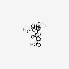 Cc1ccc(-c2cc(=O)c3cc(C(=O)O)ccc3o2)c(OC(C)C)c1